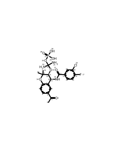 CC(=O)c1ccc2c(c1)[C@H](NC(=O)c1ccc(F)c(Cl)c1)[C@H](OC(N)(N)OP(=O)(O)O)C(C)(C)O2